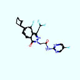 O=C(Cn1nc(C(F)F)c2c(F)c(C3CCC3)ccc2c1=O)Nc1ncc(F)cn1